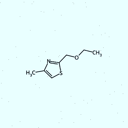 CCOCc1nc(C)cs1